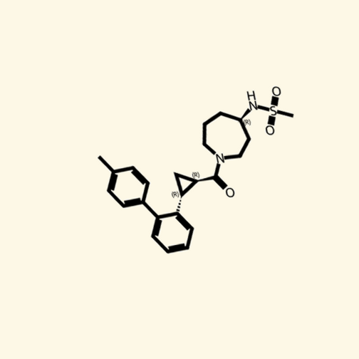 Cc1ccc(-c2ccccc2[C@@H]2C[C@H]2C(=O)N2CCC[C@@H](NS(C)(=O)=O)CC2)cc1